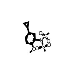 COc1ccc(C2CC2)cc1N(S(C)(=O)=O)S(C)(=O)=O